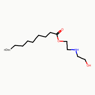 CCCCCCCCCCCCCCCCCC(=O)OCCNCCO